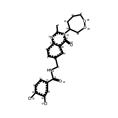 Cc1nc2ccc(CNC(=O)c3ccc(Cl)c(Cl)c3)cc2c(=O)n1C1CCCOOC1